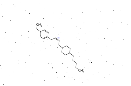 CCCCCC1CCC(C/C=C\Cc2ccc(CC)cc2)CC1